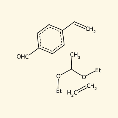 C=C.C=Cc1ccc(C=O)cc1.CCOC(C)OCC